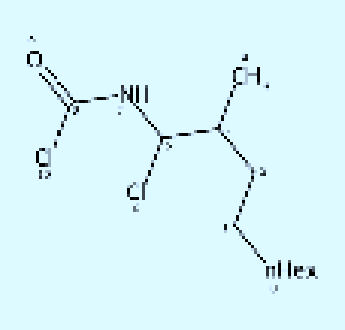 CCCCCCCCC(C)C(Cl)NC(=O)Cl